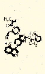 C=C(F)C(=O)N1CCN(c2nc(OC(=C)[C@@H]3CCCN3C)nc3c2CCN(c2cncc4cccc(C)c24)C3)C[C@@H]1CC#N